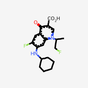 CC(CF)n1cc(C(=O)O)c(=O)c2cc(F)c(NC3CCCCC3)cc21